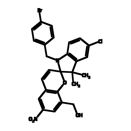 CC1(C)c2cc(Cl)ccc2N(Cc2ccc(Br)cc2)C12C=Cc1cc([N+](=O)[O-])cc(CO)c1O2